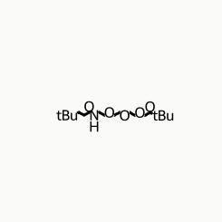 CC(C)(C)CCC(=O)NCCOCCOCCOCC(=O)C(C)(C)C